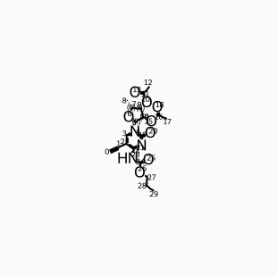 C#Cc1cn([C@@H]2O[C@H](C)[C@@H](OC(C)=O)[C@H]2OC(C)=O)c(=O)nc1NC(=O)OCCC